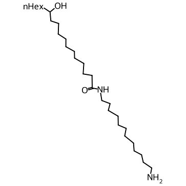 CCCCCCC(O)CCCCCCCCCCC(=O)NCCCCCCCCCCCCN